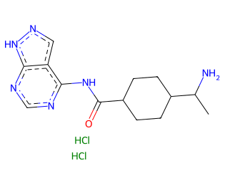 CC(N)C1CCC(C(=O)Nc2ncnc3[nH]ncc23)CC1.Cl.Cl